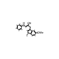 COc1ccc2c(c1)c(CC(C#N)=CNc1ccccc1)cn2C